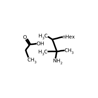 CCC(=O)O.CCCCCCC(C)C(C)(C)N